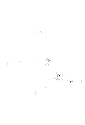 CCCCCCCCCCCCCCCCCCOP(=O)(OCCCCCCCCCCCCCCCCCC)OCCCOP(=O)(OCCCCCCCCCCCCCCCCCC)OCCOCCCCCCCC